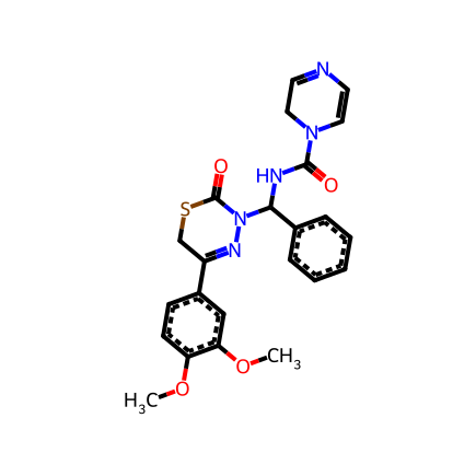 COc1ccc(C2=NN(C(NC(=O)N3C=CN=CC3)c3ccccc3)C(=O)SC2)cc1OC